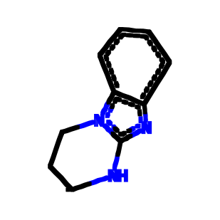 [CH]1CCn2c(nc3ccccc32)N1